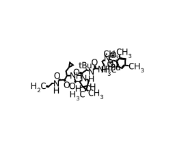 C=CCNC(=O)C(=O)C(CC1CC1)NC(=O)[C@@H]1[C@@H]2[C@H](CN1C(=O)[C@@H](NC(=O)N[C@H](CN(C)S(=O)(=O)c1c(C)cc(C)cc1C)C(C)(C)C)C(C)(C)C)C2(C)C